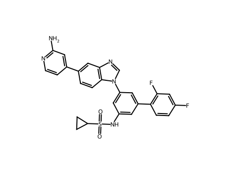 Nc1cc(-c2ccc3c(c2)ncn3-c2cc(NS(=O)(=O)C3CC3)cc(-c3ccc(F)cc3F)c2)ccn1